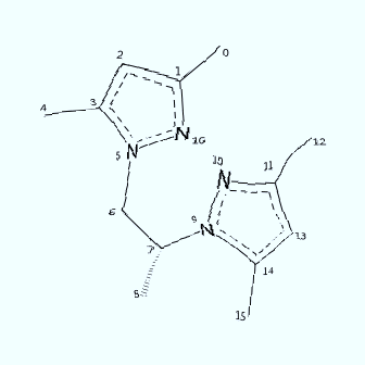 Cc1cc(C)n(C[C@@H](C)n2nc(C)cc2C)n1